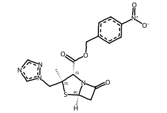 C[C@@]1(Cn2cncn2)S[C@@H]2CC(=O)N2[C@H]1C(=O)OCc1ccc([N+](=O)[O-])cc1